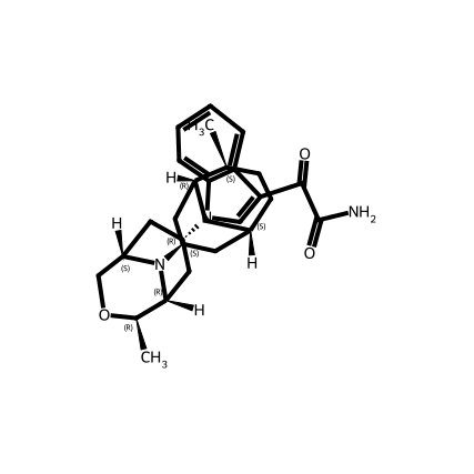 C[C@H]1CC[C@H]2C[C@@H]1C[C@H](N1[C@@H]3CO[C@H](C)[C@H]1C[C@@H](n1cc(C(=O)C(N)=O)c4ccccc41)C3)C2